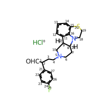 Cl.O=CC(CCN1CC[C@H]2[C@@H](C1)c1cccc3c1N2CCS3)c1ccc(F)cc1